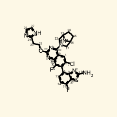 Nc1nc2c(-c3c(Cl)cc4c(N5CC6CCC(C5)N6)nc(OCCc5ncc[nH]5)nc4c3F)ccc(F)c2s1